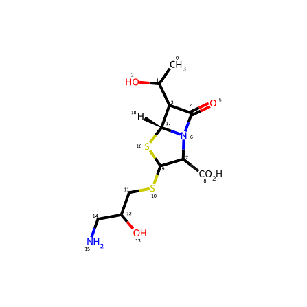 CC(O)C1C(=O)N2C(C(=O)O)C(SCC(O)CN)S[C@H]12